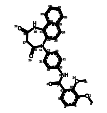 COc1cccc(C(=O)Nc2ccc(N3C(=O)CC(=O)Nc4c3ccc3ccccc43)cc2)c1OC